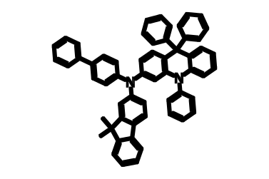 CC1(C)c2ccccc2-c2ccc(N(c3ccc(-c4ccccc4)cc3)c3ccc4c(c3)N(c3ccccc3)c3ccccc3C4(c3ccccc3)c3ccccc3)cc21